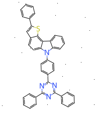 c1ccc(-c2nc(-c3ccccc3)nc(-c3ccc(-n4c5ccccc5c5c6sc(-c7ccccc7)cc6ccc54)cc3)n2)cc1